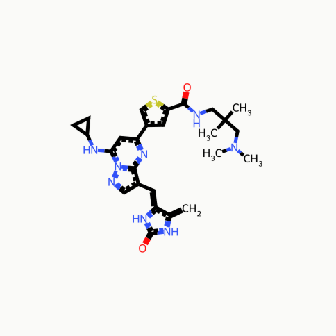 C=c1[nH]c(=O)[nH]/c1=C\c1cnn2c(NC3CC3)cc(-c3csc(C(=O)NCC(C)(C)CN(C)C)c3)nc12